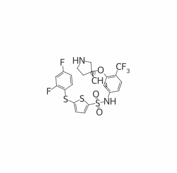 C[C@@]1(Oc2cc(NS(=O)(=O)c3ccc(Sc4ccc(F)cc4F)s3)ccc2C(F)(F)F)CCNC1